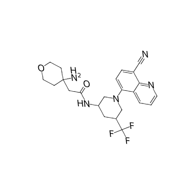 N#Cc1ccc(N2CC(NC(=O)CC3(N)CCOCC3)CC(C(F)(F)F)C2)c2cccnc12